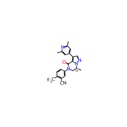 Cc1cc(-c2cnn3c2C(=O)N(c2ccc(C(F)(F)F)c(C#N)c2)C[C@@H]3C)cc(C)n1